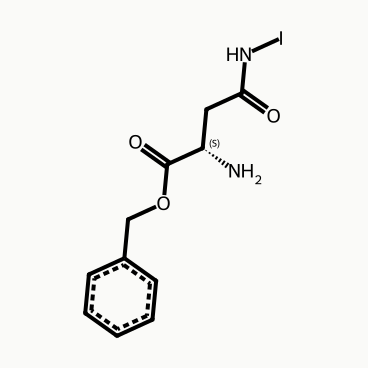 N[C@@H](CC(=O)NI)C(=O)OCc1ccccc1